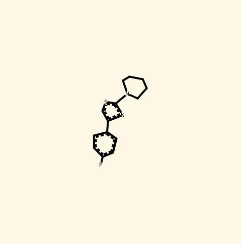 Fc1ccc(-c2csc(N3CCCCC3)n2)cc1